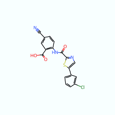 N#Cc1ccc(NC(=O)c2ncc(-c3cccc(Cl)c3)s2)c(C(=O)O)c1